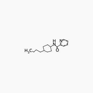 CCCCC1CCC(NC(=O)c2ccccn2)CC1